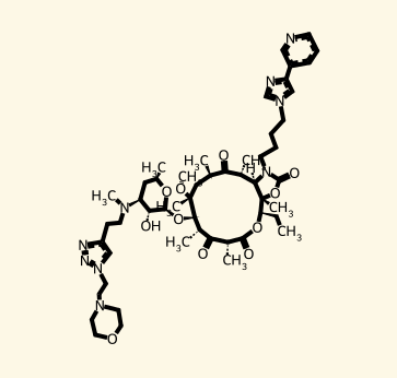 CC[C@H]1OC(=O)[C@H](C)C(=O)[C@H](C)[C@@H](O[C@@H]2O[C@H](C)C[C@H](N(C)CCc3cn(CCN4CCOCC4)nn3)[C@H]2O)[C@](C)(OC)C[C@@H](C)C(=O)[C@H](C)[C@H]2N(CCCCn3cnc(-c4cccnc4)c3)C(=O)O[C@]12C